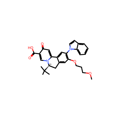 COCCCOc1cc2c(cc1-n1ccc3ccccc31)-c1cc(=O)c(C(=O)O)cn1[C@H](C(C)(C)C)C2